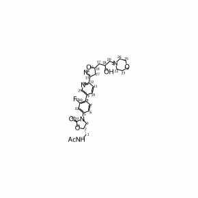 CC(=O)NC[C@H]1CN(c2ccc(-c3ccc(C4=NOC(CC(O)CN5CCOCC5)C4)nc3)c(F)c2)C(=O)O1